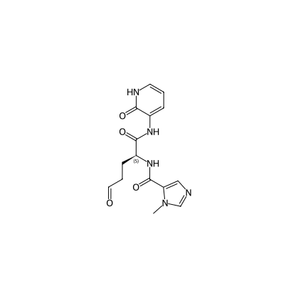 Cn1cncc1C(=O)N[C@@H](CCC=O)C(=O)Nc1ccc[nH]c1=O